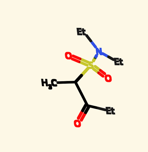 CCC(=O)C(C)S(=O)(=O)N(CC)CC